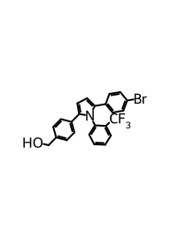 OCc1ccc(-c2ccc(-c3ccc(Br)cc3)n2-c2ccccc2C(F)(F)F)cc1